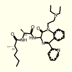 CCCC[C@H](C)C(=O)N[C@@H](C)C(=O)NC1N=C(c2ccccn2)c2ccccc2N(CCN(CC)CC)C1=O